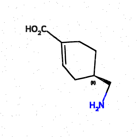 NC[C@H]1CC=C(C(=O)O)CC1